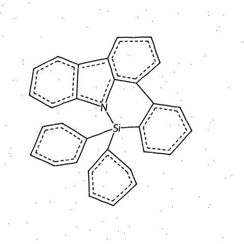 c1ccc([Si]2(c3ccccc3)c3ccccc3-c3cccc4c5ccccc5n2c34)cc1